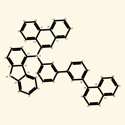 c1cc(-c2cccc(N(c3cc4ccccc4c4ccccc34)c3cccc4sc5ccccc5c34)c2)cc(-c2cccc3ccccc23)c1